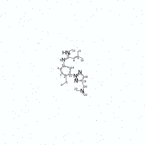 CCc1ccc(/N=C(\C=C(C)C)NC)cc1-n1ncc(CN(C)C)n1